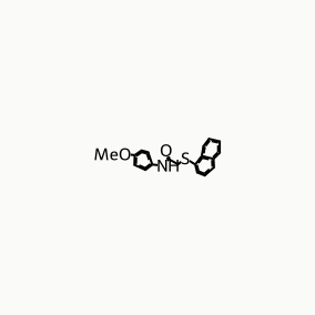 COc1ccc(NC(=O)CSc2cccc3ccccc23)cc1